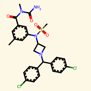 Cc1cc(C(=O)N(C)C(N)=O)cc(N(C2CN(C(c3ccc(Cl)cc3)c3ccc(Cl)cc3)C2)S(C)(=O)=O)c1